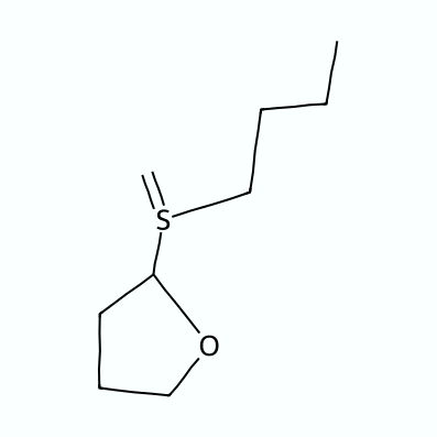 C=S(CCCC)C1CCCO1